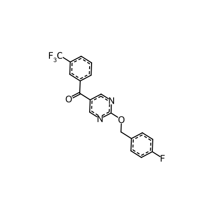 O=C(c1cnc(OCc2ccc(F)cc2)nc1)c1cccc(C(F)(F)F)c1